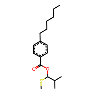 CCCCCCc1ccc(C(=O)OC(SC)C(C)C)cc1